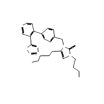 CCCCCc1cn(CCCC)c(=O)n1Cc1ccc(-c2ccncc2-c2nnn[nH]2)cc1